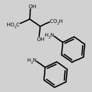 Nc1ccccc1.Nc1ccccc1.O=C(O)C(O)C(O)C(=O)O